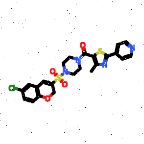 Cc1nc(-c2ccncc2)sc1C(=O)N1CCN(S(=O)(=O)C2=Cc3cc(Cl)ccc3OC2)CC1